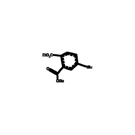 CCOC(=O)c1ccc(C(C)(C)C)cc1C(=O)OCC(C)C